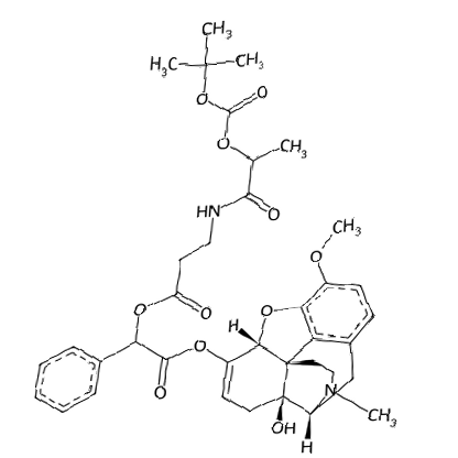 COc1ccc2c3c1O[C@H]1C(OC(=O)C(OC(=O)CCNC(=O)C(C)OC(=O)OC(C)(C)C)c4ccccc4)=CC[C@@]4(O)[C@@H](C2)N(C)CC[C@]314